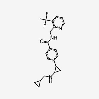 CC(F)(F)c1cccnc1CNC(=O)c1ccc(C2CC2NCC2CC2)cc1